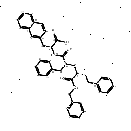 O=C(OCc1ccccc1)[C@@H](CCc1ccccc1)CN(Cc1ccccc1)C(=O)N[C@@H](Cc1ccc2ccccc2c1)C(=O)O